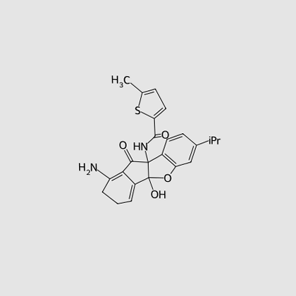 Cc1ccc(C(=O)NC23C(=O)C4=C(N)CCC=C4C2(O)Oc2cc(C(C)C)ccc23)s1